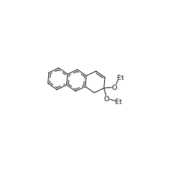 CCOC1(OCC)C=Cc2cc3ccccc3cc2C1